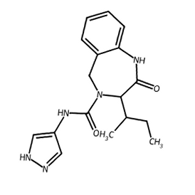 CCC(C)C1C(=O)Nc2ccccc2CN1C(=O)Nc1cn[nH]c1